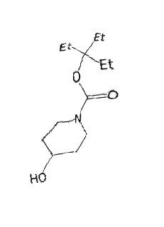 CCC(CC)(CC)OC(=O)N1CCC(O)CC1